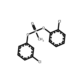 CP(=O)(Oc1cccc(Cl)c1)Oc1ccccc1Cl